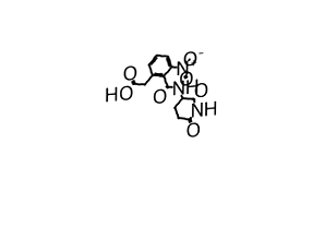 O=C(O)Cc1cccc([N+](=O)[O-])c1C(=O)NC1CCC(=O)NC1=O